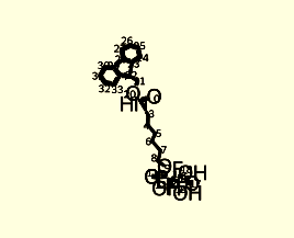 O=C(NCCCCCCOP(=O)(O)C(F)(F)P(=O)(O)O)OCC1c2ccccc2-c2ccccc21